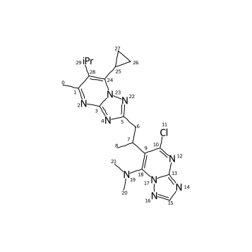 Cc1nc2nc(CC(C)c3c(Cl)nc4ncnn4c3N(C)C)nn2c(C2CC2)c1C(C)C